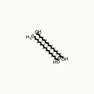 CCCCCCCCCCCCCCCCCC(=O)O.OCCCCCCCCCCCCCCCCCCO